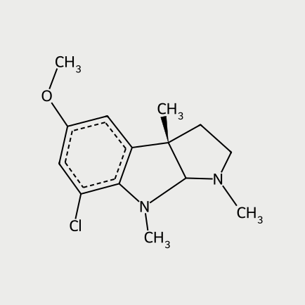 COc1cc(Cl)c2c(c1)[C@]1(C)CCN(C)C1N2C